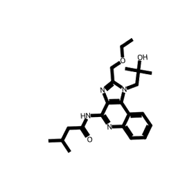 CCOCc1nc2c(NC(=O)CC(C)C)nc3ccccc3c2n1CC(C)(C)O